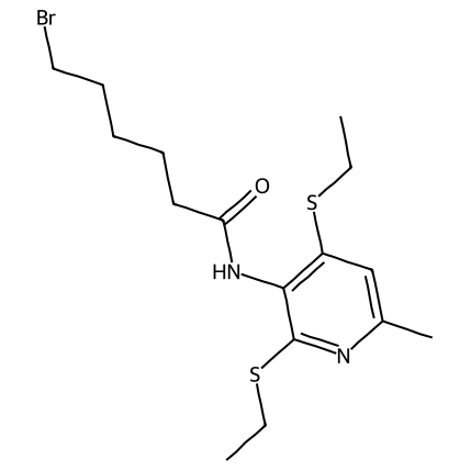 CCSc1cc(C)nc(SCC)c1NC(=O)CCCCCBr